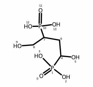 O=P(O)(O)C(O)CC(CO)P(=O)(O)O